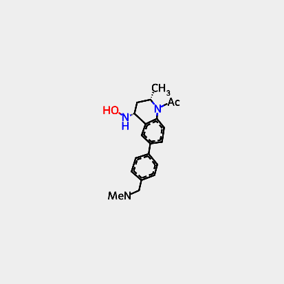 CNCc1ccc(-c2ccc3c(c2)[C@H](NO)C[C@H](C)N3C(C)=O)cc1